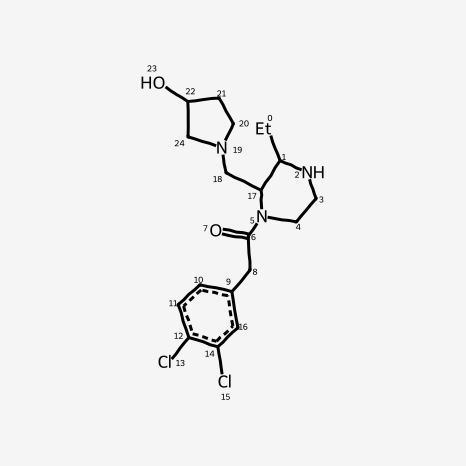 CCC1NCCN(C(=O)Cc2ccc(Cl)c(Cl)c2)C1CN1CCC(O)C1